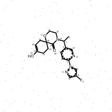 CC(c1ccc(-n2cc(F)cn2)nc1)N1CCOC2(CC=C(O)CC2)C1=O